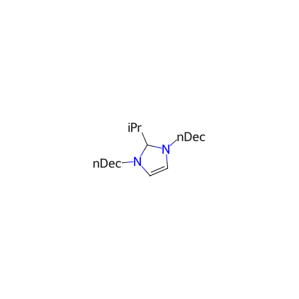 CCCCCCCCCCN1C=CN(CCCCCCCCCC)C1C(C)C